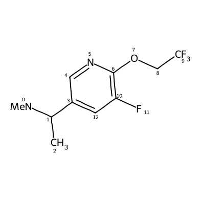 CNC(C)c1cnc(OCC(F)(F)F)c(F)c1